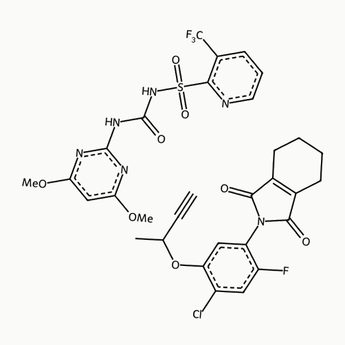 C#CC(C)Oc1cc(N2C(=O)C3=C(CCCC3)C2=O)c(F)cc1Cl.COc1cc(OC)nc(NC(=O)NS(=O)(=O)c2ncccc2C(F)(F)F)n1